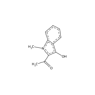 CC(=O)c1c(O)c2ccccc2n1C